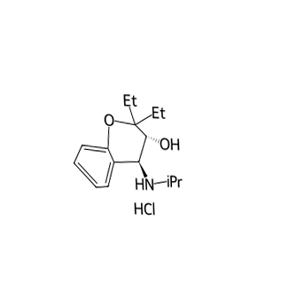 CCC1(CC)Oc2ccccc2[C@H](NC(C)C)[C@H]1O.Cl